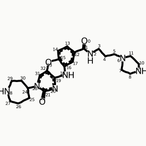 O=C(NCCCN1CCNCC1)c1ccc2c(c1)Nc1nc(=O)n(C3CCCNCC3)cc1O2